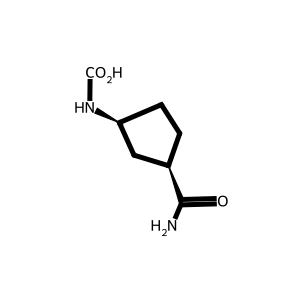 NC(=O)[C@@H]1CC[C@H](NC(=O)O)C1